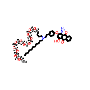 C=CCCCCCCCCCN(CCCC[Si](C)(C)O[Si](C)(C)O[Si](C)(C)O[Si](C)(C)O[Si](C)(C)O[Si](C)(C)O[Si](C)(C)O[Si](C)(C)O[Si](C)(C)O[Si](C)(C)O[Si](C)(C)O[Si](C)(C)O[Si](C)(C)CCCC)CCc1ccc(Oc2cc(O)c3c(c2N)C(=O)c2ccccc2C3=O)cc1